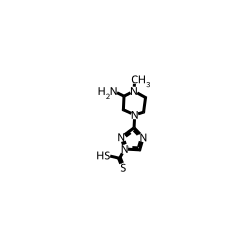 CN1CCN(c2ncn(C(=S)S)n2)CC1N